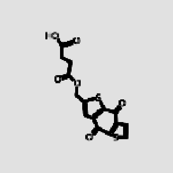 O=C(O)CCC(=O)OCc1cc2c(s1)C(=O)c1ccsc1C2=O